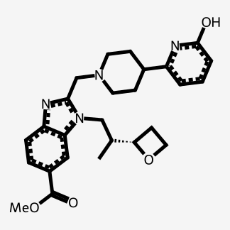 COC(=O)c1ccc2nc(CN3CCC(c4cccc(O)n4)CC3)n(CC(C)[C@@H]3CCO3)c2c1